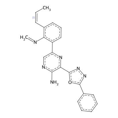 C=Nc1c(/C=C\C)cccc1-c1cnc(N)c(-c2nnc(-c3ccccc3)o2)n1